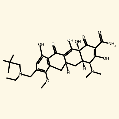 CCN(Cc1cc(O)c2c(c1OC)C[C@H]1C[C@H]3[C@H](N(C)C)C(O)=C(C(N)=O)C(=O)[C@@]3(O)C(O)=C1C2=O)CC(C)(C)C